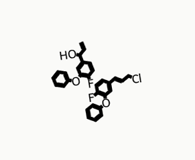 C=CC(O)c1ccc(F)c(Oc2ccccc2)c1.Fc1ccc(C=CCCl)cc1Oc1ccccc1